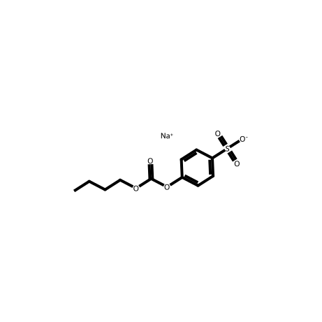 CCCCOC(=O)Oc1ccc(S(=O)(=O)[O-])cc1.[Na+]